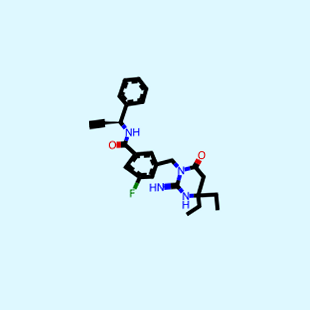 C#C[C@H](NC(=O)c1cc(F)cc(CN2C(=N)NC(CC)(CC)CC2=O)c1)c1ccccc1